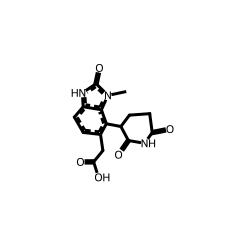 Cn1c(=O)[nH]c2ccc(CC(=O)O)c(C3CCC(=O)NC3=O)c21